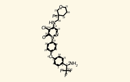 N[C@H](c1ccc(Oc2ccc(-n3ncc(NC[C@@]4(F)CCCOC4)c(Cl)c3=O)cc2)cc1)C(F)(F)F